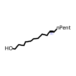 CCCCC/C=C/CCCCCCCCCO